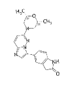 C[C@@H]1CN(c2ccc3ncc(-c4ccc5c(c4)CC(=O)N5)n3n2)C[C@H](C)O1